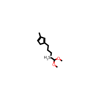 COC(OC)[SiH2]CCCC1=CC(C)=CC1